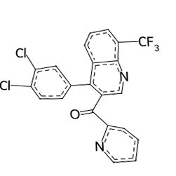 O=C(c1ccccn1)c1cnc2c(C(F)(F)F)cccc2c1-c1ccc(Cl)c(Cl)c1